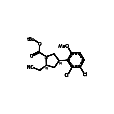 COc1ccc(Cl)c(Cl)c1[C@H]1C[C@@H](CC#N)N(C(=O)OC(C)(C)C)C1